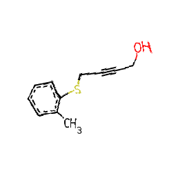 Cc1ccccc1SCC#CCO